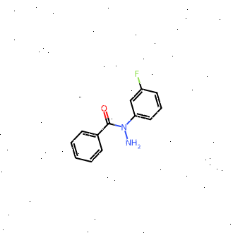 NN(C(=O)c1ccccc1)c1cccc(F)c1